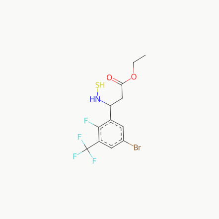 CCOC(=O)CC(NS)c1cc(Br)cc(C(F)(F)F)c1F